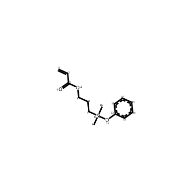 C=CC(=O)OCCC[Si](C)(C)Oc1ccccc1